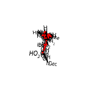 CCCCCCCCCCCCCCCC(=O)NCCC(=O)N[C@@H](CCC(=O)NCCCC[C@H](NC(=O)[C@@H](N)[C@@H](C)CC)C(=O)N1CCN(c2ccc3ncn(CC(=O)N[C@@H](CCCNC(=N)N)C(=O)N[C@@H](Cc4c[nH]cn4)C(=O)N[C@@H](Cc4ccc(O)cc4)C(=O)N[C@@H](CC(C)C)C(=O)N[C@@H](CC(N)=O)C(=O)N[C@@H](Cc4c[nH]c5ccccc45)C(=O)NC)c(=O)c3c2)CC1)C(=O)O